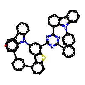 c1ccc(-c2cccc(-c3cccc4sc5c(-c6nc(-c7ccccc7)nc(-c7cccc8c9ccccc9n(-c9ccccc9)c78)n6)cc(-n6c7ccccc7c7ccccc76)cc5c34)c2)cc1